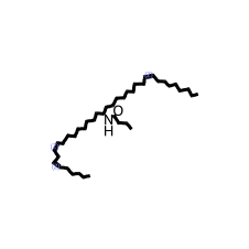 CCCCC/C=C\C/C=C\CCCCCCCCC(CCCCCCCC/C=C\CCCCCCCC)NC(=O)CCC